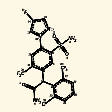 NC(=O)C(c1cc(S(N)(=O)=O)c(-n2cc(F)cn2)cc1C(F)(F)F)c1c(Cl)cccc1C(F)(F)F